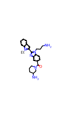 CCn1c(-c2nc3cc(C(=O)N4CCCC(N)C4)ccc3n2CCCN)cc2ccccc21